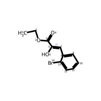 CCOC(=O)/C(O)=C/c1ccccc1Br